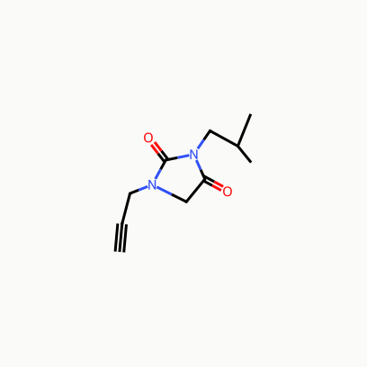 C#CCN1CC(=O)N(CC(C)C)C1=O